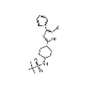 CC(C)(C)S(=O)(=O)N[C@H]1CC[C@H](c2nc(-c3ccccc3)c(Cl)[nH]2)CC1